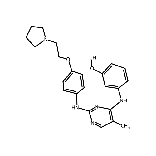 COc1cccc(Nc2nc(Nc3ccc(OCCN4CCCC4)cc3)ncc2C)c1